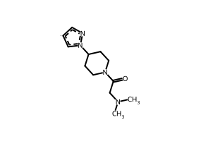 CN(C)CC(=O)N1CCC(n2c[c]cn2)CC1